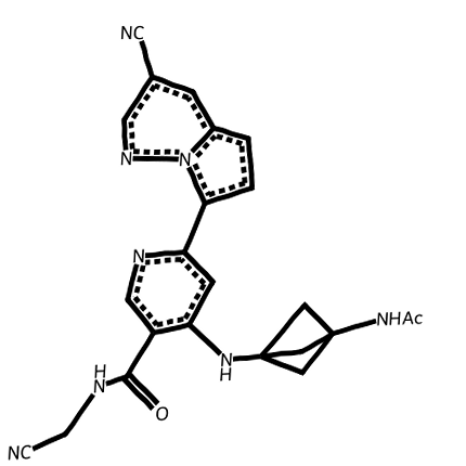 CC(=O)NC12CC(Nc3cc(-c4ccc5cc(C#N)cnn45)ncc3C(=O)NCC#N)(C1)C2